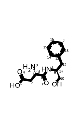 N[C@@H](CC(=O)O)C(=O)N[C@H](CO)Cc1ccccc1